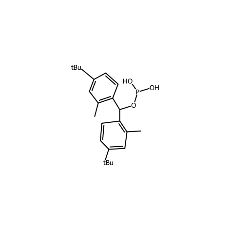 Cc1cc(C(C)(C)C)ccc1C(OP(O)O)c1ccc(C(C)(C)C)cc1C